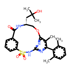 Cc1cccc(C)c1-c1nc2nc(c1C)OC[C@@H](CC(C)(C)O)NC(=O)c1cccc(c1)S(=O)(=O)N2